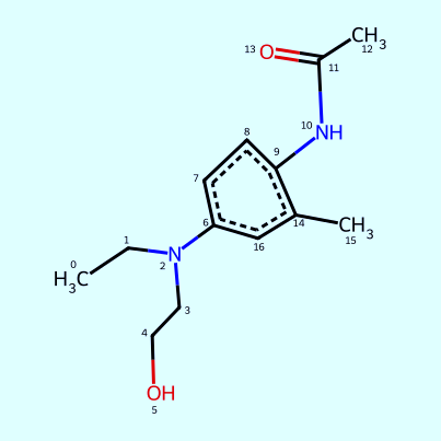 CCN(CCO)c1ccc(NC(C)=O)c(C)c1